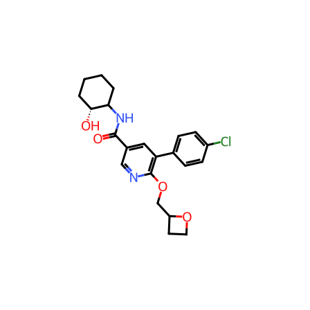 O=C(NC1CCCC[C@H]1O)c1cnc(OCC2CCO2)c(-c2ccc(Cl)cc2)c1